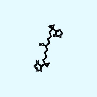 OC(CCCCC1(c2nnn[nH]2)CC1)CCCCC1(c2nnn[nH]2)CC1